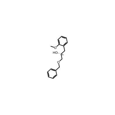 COc1ccccc1C[C@@H](O)COCc1ccccc1